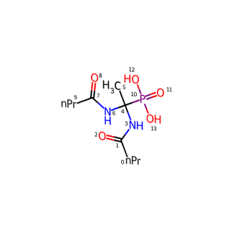 CCCC(=O)NC(C)(NC(=O)CCC)P(=O)(O)O